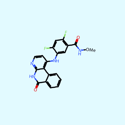 CONC(=O)c1cc(Nc2ccnc3[nH]c(=O)c4ccccc4c23)c(F)cc1F